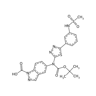 CC(C)(C)OC(=O)N(c1ccc2c(cnn2C(=O)O)c1)c1nnc(-c2cccc(NS(C)(=O)=O)c2)s1